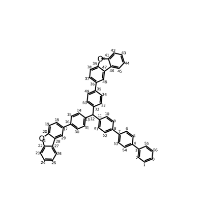 c1ccc(-c2ccc(-c3ccc(C(c4ccc(-c5ccc6oc7ccccc7c6c5)cc4)c4ccc(-c5ccc6oc7ccccc7c6c5)cc4)cc3)cc2)cc1